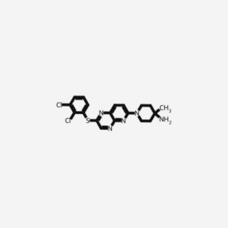 CC1(N)CCN(c2ccc3nc(Sc4cccc(Cl)c4Cl)cnc3n2)CC1